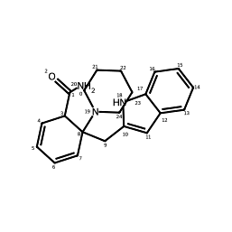 NC(=O)C1C=CC=CC1(Cc1cc2ccccc2[nH]1)N1CCCCC1